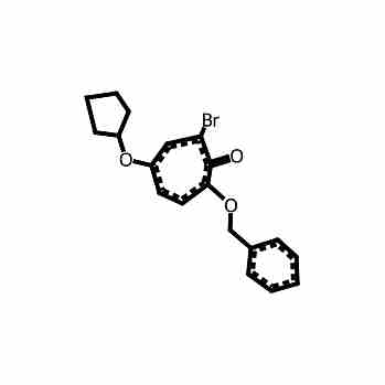 O=c1c(Br)cc(OC2CCCC2)ccc1OCc1ccccc1